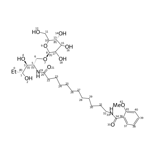 CC[C@@H](O)[C@@H](O)[C@H](CO[C@H]1OC(CO)[C@H](O)C(O)C1O)NC(=O)CCCCCCCCCCCNC(=O)c1ccccc1OC